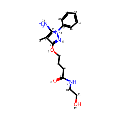 Cc1c(OCCCC(=O)NCCO)nn(-c2ccccc2)c1N